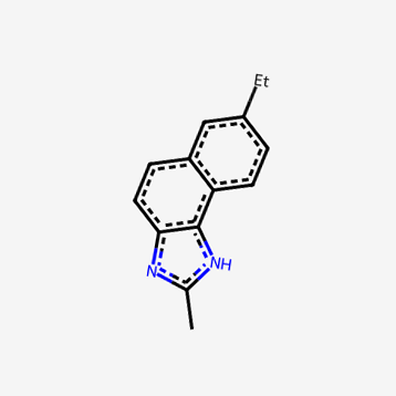 CCc1ccc2c(ccc3nc(C)[nH]c32)c1